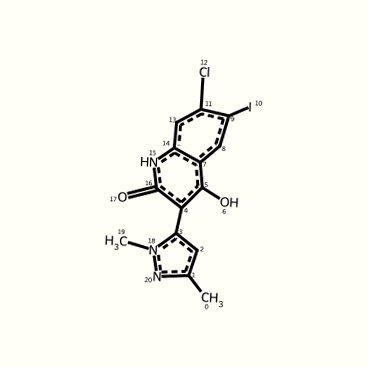 Cc1cc(-c2c(O)c3cc(I)c(Cl)cc3[nH]c2=O)n(C)n1